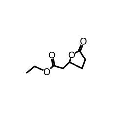 CCOC(=O)CC1CCC(=O)O1